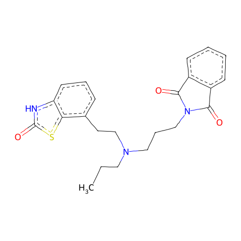 CCCN(CCCN1C(=O)c2ccccc2C1=O)CCc1cccc2[nH]c(=O)sc12